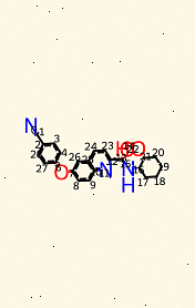 N#Cc1ccc(Oc2ccc3nc(C(=O)N[C@@H]4CCCC[C@@H]4O)ccc3c2)cc1